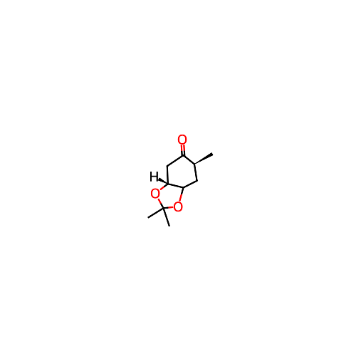 C[C@H]1CC2OC(C)(C)O[C@@H]2CC1=O